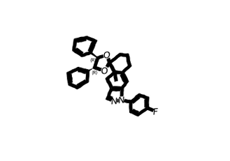 CC12Cc3cnn(-c4ccc(F)cc4)c3C=C1CCCC21O[C@H](c2ccccc2)[C@@H](c2ccccc2)O1